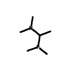 CC(N(C)C)P(C)C